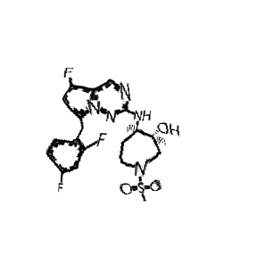 CS(=O)(=O)N1CC[C@@H](Nc2ncc3c(F)cc(-c4ccc(F)cc4F)n3n2)[C@H](O)C1